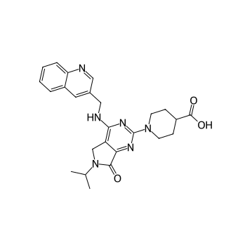 CC(C)N1Cc2c(NCc3cnc4ccccc4c3)nc(N3CCC(C(=O)O)CC3)nc2C1=O